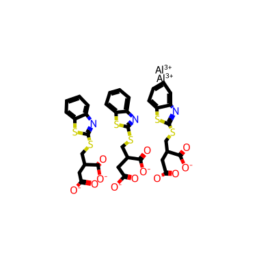 O=C([O-])CC(CSc1nc2ccccc2s1)C(=O)[O-].O=C([O-])CC(CSc1nc2ccccc2s1)C(=O)[O-].O=C([O-])CC(CSc1nc2ccccc2s1)C(=O)[O-].[Al+3].[Al+3]